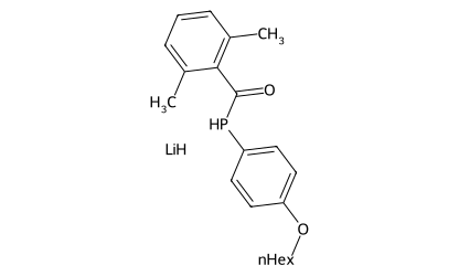 CCCCCCOc1ccc(PC(=O)c2c(C)cccc2C)cc1.[LiH]